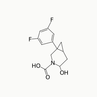 O=C(O)N1CC2(c3cc(F)cc(F)c3)CC2CC1O